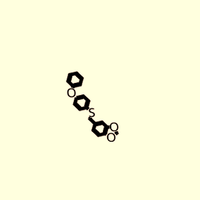 c1ccc(Oc2ccc(SCc3ccc4c(c3)OCO4)cc2)cc1